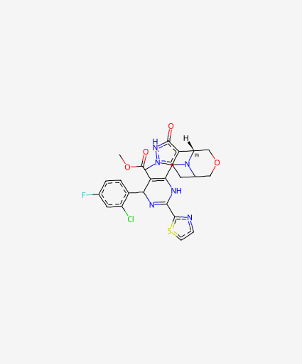 COC(=O)C1=C(CN2C3COC[C@H]2c2c(n(C)[nH]c2=O)C3)NC(c2nccs2)=NC1c1ccc(F)cc1Cl